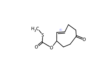 CSC(=O)OC1/C=C/CCC(=O)CC1